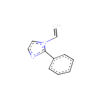 C=Cn1ccnc1-c1ccccc1